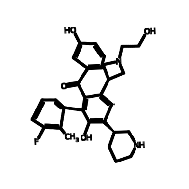 Cc1c(F)cccc1-c1c(O)c([C@@H]2CCCNC2)[c]c(C2CN(CCO)C2)c1C(=O)c1cccc(O)c1